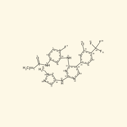 C=CC(=O)Nc1ccc(F)c(Nc2nc(Nc3cnn(C)c3)ncc2-c2ccc(C(F)(F)F)c(Cl)c2)c1